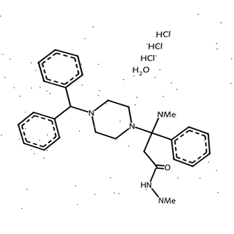 CNNC(=O)CC(NC)(c1ccccc1)N1CCN(C(c2ccccc2)c2ccccc2)CC1.Cl.Cl.Cl.O